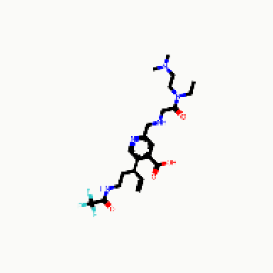 C=CC(CCNC(=O)C(F)(F)F)c1cnc(CNCC(=O)N(CC)CCN(C)C)cc1C(=O)O